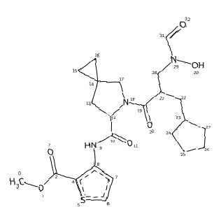 COC(=O)c1sccc1NC(=O)C1CC2(CC2)CN1C(=O)C(CC1CCCC1)CN(O)C=O